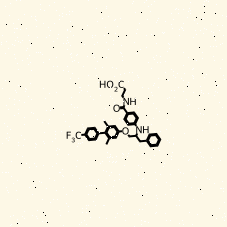 Cc1cc(OCC(Cc2ccccc2)Nc2ccc(C(=O)NCCC(=O)O)cc2)cc(C)c1-c1ccc(C(F)(F)F)cc1